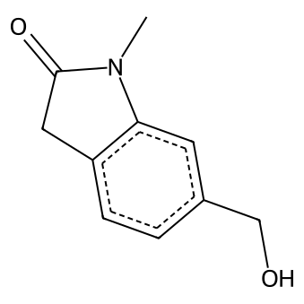 CN1C(=O)Cc2ccc(CO)cc21